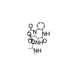 CNC(C)C(=O)NC1C(=O)Nc2ccccc2N(C(C)=O)C1S(C)(=O)=O